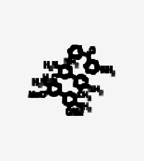 COc1cc(-c2ccc(N)c(OC)c2)ccc1N.Cc1cc(-c2ccc(N)c(C)c2)ccc1N.Nc1cccc(C(=O)c2cccc(N)c2)c1